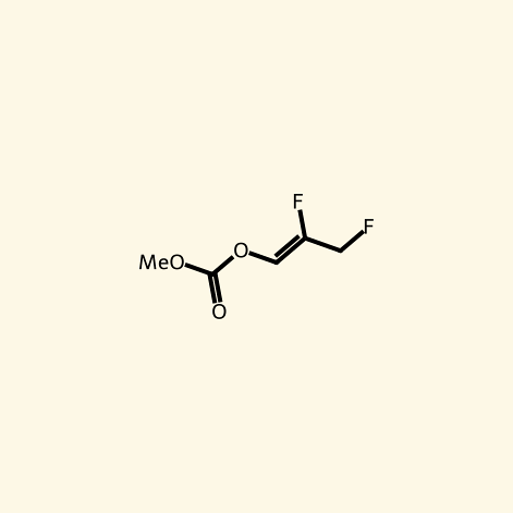 COC(=O)OC=C(F)CF